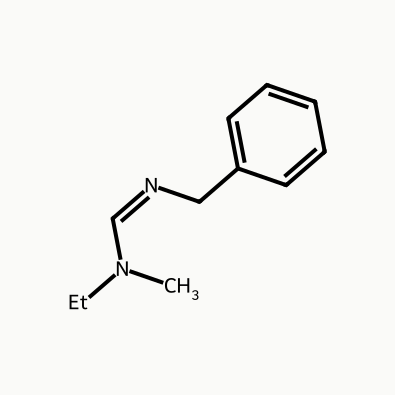 CCN(C)/C=N\Cc1ccccc1